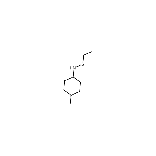 CCSNC1CCN(C)CC1